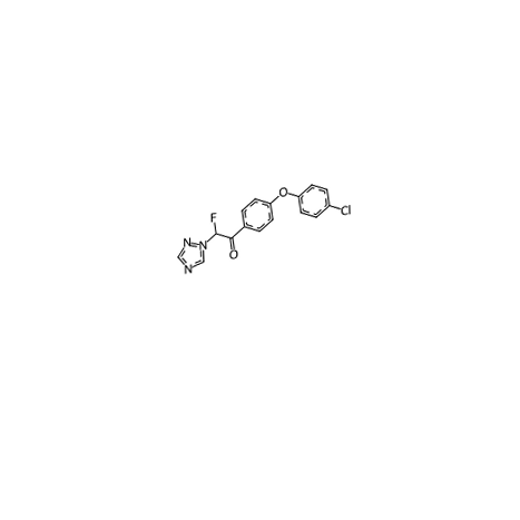 O=C(c1ccc(Oc2ccc(Cl)cc2)cc1)C(F)n1cncn1